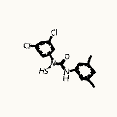 Cc1cc(C)cc(NC(=O)N(S)c2cc(Cl)cc(Cl)c2)c1